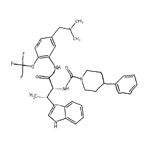 C[C@@H](c1c[nH]c2ccccc12)[C@@H](NC(=O)N1CCC(c2ccccc2)CC1)C(=O)Nc1cc(CN(C)C)ccc1OC(F)(F)F